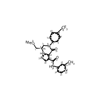 COC[C@H]1CN(c2ccc(C(F)(F)F)cc2)C(=O)c2c(C(=O)Nc3ccnc(C)c3)cnn21